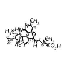 CC(=O)N1c2ccc(C(=O)NCCN(C)C(=O)O)cc2[C@H](Nc2cccc(C)n2)[C@@H](C)[C@@H]1C1CC1